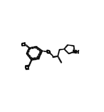 CC(COc1cc(Cl)cc(Cl)c1)CC1CCNC1